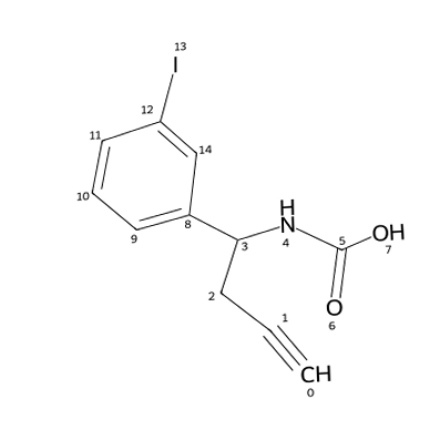 C#CCC(NC(=O)O)c1cccc(I)c1